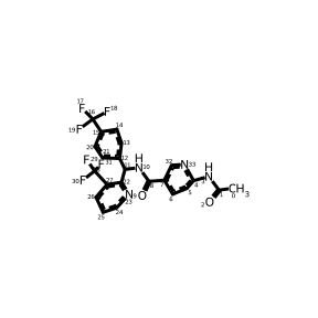 CC(=O)Nc1ccc(C(=O)NC(c2ccc(C(F)(F)F)cc2)c2ncccc2C(F)(F)F)cn1